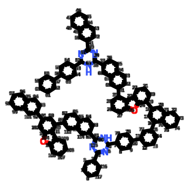 c1ccc(C2=NC(c3ccc(-c4cccc(-c5cc(-c6cccc7c6oc6cccc(-c8ccc9ccc(C%10=NC(c%11ccc%12ccccc%12c%11)=NC(c%11ccc(-c%12ccccc%12)cc%11)N%10)cc9c8)c67)cc6ccccc56)c4)cc3)NC(c3ccc4ccc(-c5cc(-c6ccc7ccccc7c6)cc6oc7ccccc7c56)cc4c3)=N2)cc1